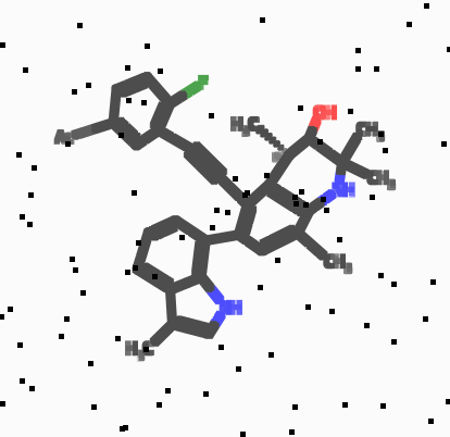 CC(=O)c1ccc(F)c(C#Cc2c(-c3cccc4c(C)c[nH]c34)cc(C)c3c2[C@H](C)C(O)C(C)(C)N3)c1